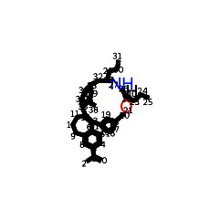 C=C(C)c1ccc2c(c1)CCCC1=C2c2cccc(c2)CO[C@@H](CCC)CNC(CCC)Cc2ccc1c(C)c2